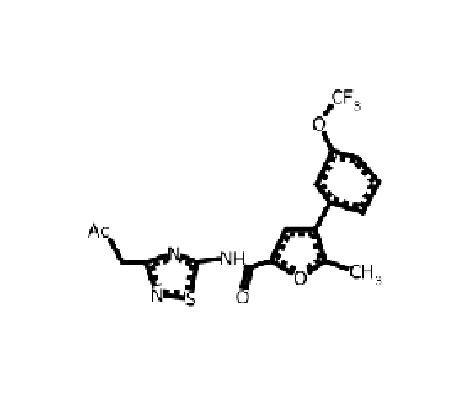 CC(=O)Cc1nsc(NC(=O)c2cc(-c3cccc(OC(F)(F)F)c3)c(C)o2)n1